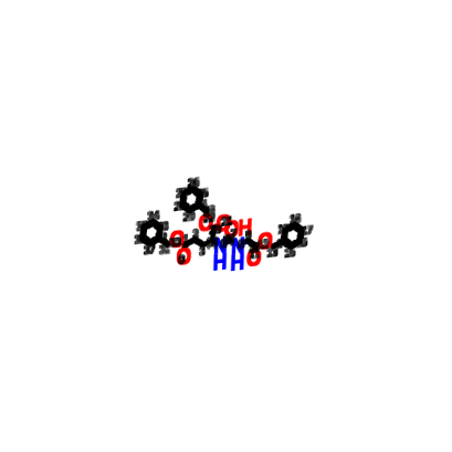 O=C(CC[C@H](N[C@@H](O)NCC(=O)OCc1ccccc1)C(=O)OCc1ccccc1)OCc1ccccc1